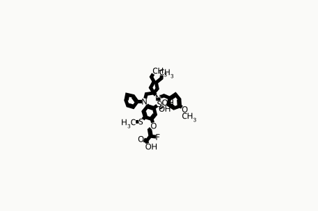 CCCCC1(CCCC)CN(c2ccccc2)c2cc(SC)c(OC=C(F)C(=O)O)cc2S(O)(O)N1Cc1ccc(OC)cc1